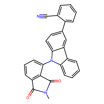 CN1C(=O)c2cccc(-n3c4ccccc4c4cc(-c5ccccc5C#N)ccc43)c2C1=O